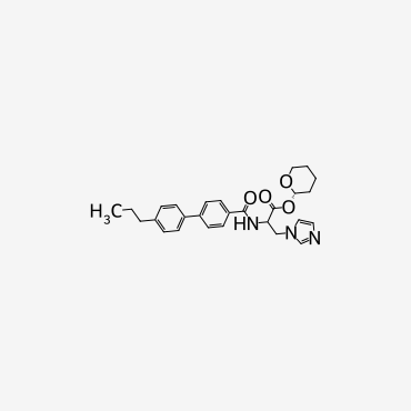 CCCc1ccc(-c2ccc(C(=O)NC(Cn3ccnc3)C(=O)O[C@H]3CCCCO3)cc2)cc1